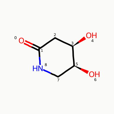 O=C1C[C@@H](O)[C@@H](O)CN1